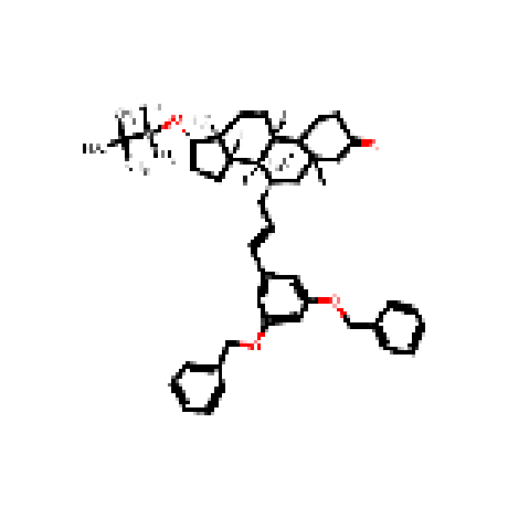 CC(C)(C)[Si](C)(C)O[C@H]1CC[C@H]2[C@@H]3[C@H](C/C=C/c4cc(OCc5ccccc5)cc(OCc5ccccc5)c4)C[C@H]4CC(=O)CC[C@]4(C)[C@H]3CC[C@]12C